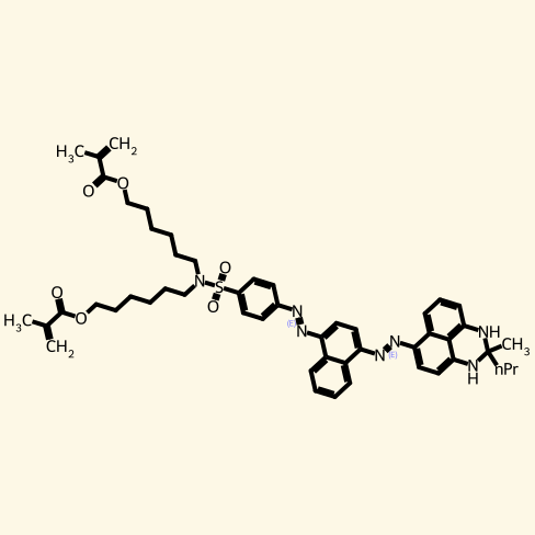 C=C(C)C(=O)OCCCCCCN(CCCCCCOC(=O)C(=C)C)S(=O)(=O)c1ccc(/N=N/c2ccc(/N=N/c3ccc4c5c(cccc35)NC(C)(CCC)N4)c3ccccc23)cc1